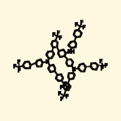 FC(F)(F)c1ccc(-c2ccc(Nc3cc(-c4cc(C(F)(F)F)ccc4-c4ccc(N(c5ccc(-c6ccc(C(F)(F)F)cc6)cc5)c5ccc(-c6ccc(C(F)(F)F)cc6)cc5)cc4)ccc3-c3ccc(N(c4ccc(-c5ccc(C(F)(F)F)cc5)cc4)c4ccc(-c5ccc(C(F)(F)F)cc5)cc4)cc3)cc2)cc1